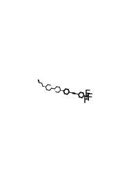 C=CCC[C@H]1CC[C@H]([C@H]2CC[C@H](c3ccc(C#Cc4ccc(C(F)(F)F)cc4)cc3)CC2)CC1